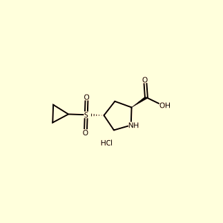 Cl.O=C(O)[C@@H]1C[C@@H](S(=O)(=O)C2CC2)CN1